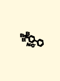 CC(=O)[O-].CC[N+](CC)(CC)c1ccc(-c2ccccc2)cc1